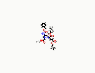 CC(C)(C)OC(=O)CCC(NC(=O)OCc1ccccc1)C(=O)NC(CCC(=O)OCC[Si](C)(C)C)C(=O)OCC[Si](C)(C)C